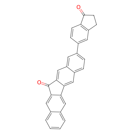 O=C1CCc2cc(-c3ccc4cc5c(cc4c3)C(=O)c3cc4ccccc4cc3-5)ccc21